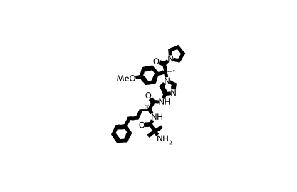 COc1ccc([C@@](C)(C(=O)N2CCCC2)n2cnc(NC(=O)[C@H](CCCc3ccccc3)NC(=O)C(C)(C)N)c2)cc1